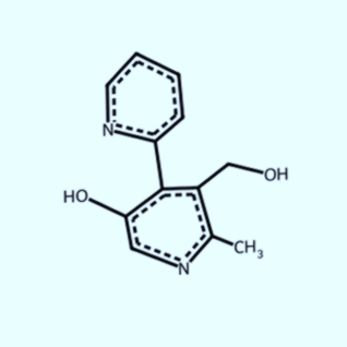 Cc1ncc(O)c(-c2ccccn2)c1CO